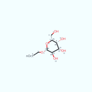 CCCCCCCCCO[C@@H]1O[C@H](CO)[C@H](O)[C@H](O)[C@H]1O